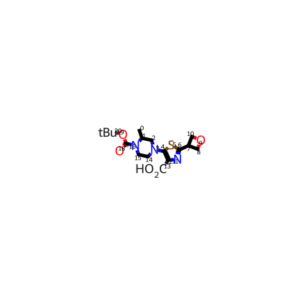 CC1CN(c2sc(C3COC3)nc2C(=O)O)CCN1C(=O)OC(C)(C)C